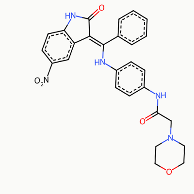 O=C(CN1CCOCC1)Nc1ccc(NC(=C2C(=O)Nc3ccc([N+](=O)[O-])cc32)c2ccccc2)cc1